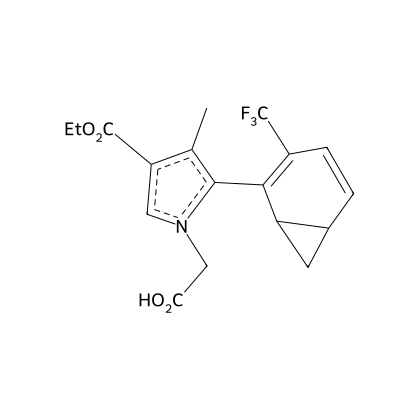 CCOC(=O)c1cn(CC(=O)O)c(C2=C(C(F)(F)F)C=CC3CC23)c1C